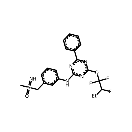 CCC(F)C(F)(F)Oc1nc(Nc2cccc(CS(C)(=N)=O)c2)nc(-c2ccccc2)n1